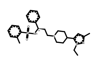 CCn1nc(C)cc1C1CCN(CC[C@@H](NS(=O)(=O)c2ccccc2C)c2ccccc2)CC1